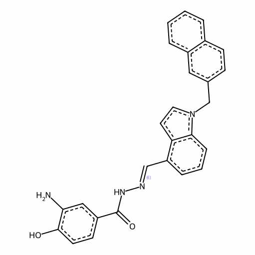 Nc1cc(C(=O)N/N=C/c2cccc3c2ccn3Cc2ccc3ccccc3c2)ccc1O